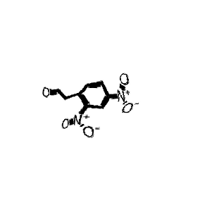 O=CCc1ccc([N+](=O)[O-])cc1[N+](=O)[O-]